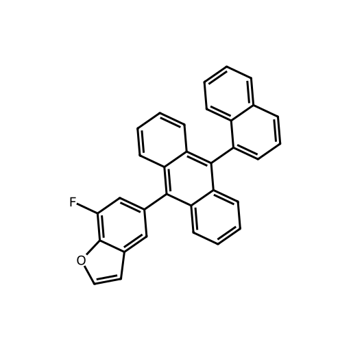 Fc1cc(-c2c3ccccc3c(-c3cccc4ccccc34)c3ccccc23)cc2ccoc12